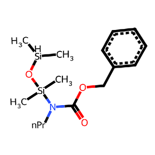 CCCN(C(=O)OCc1ccccc1)[Si](C)(C)O[SiH](C)C